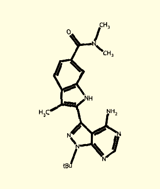 Cc1c(-c2nn(C(C)(C)C)c3ncnc(N)c23)[nH]c2cc(C(=O)N(C)C)ccc12